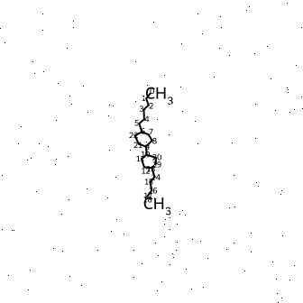 CCCCCCC1CCC(C2CCC(CCCCC)CC2)CC1